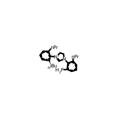 CCCc1cccc(P)c1N1C=[N+](c2c(CCC)cccc2[C@H](C)CC)CC1